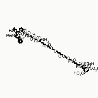 C=C(O)C[C@H](CC(=O)[C@H](Cc1c[nH]c2ccccc12)NC)C(=O)N1CCC[C@H]1C(=O)NCC(=O)NCC(=O)NCC(=O)N[C@@H](CCCCNC(=O)COCCOCCCC(=O)COCCOCCNC(=O)CCCC(=O)NCCC1(N(CC(=O)O)CC(=O)O)CN(CC(=O)O)CCN(CC(=O)O)C1)C(N)=O